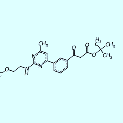 COCCNc1nc(C)cc(-c2cccc(C(=O)CC(=O)OC(C)(C)C)c2)n1